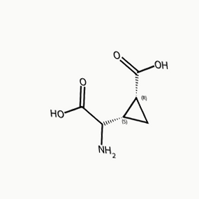 NC(C(=O)O)[C@H]1C[C@H]1C(=O)O